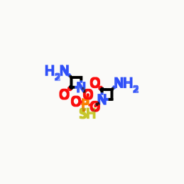 N[C@H]1CN(OP(=O)(S)ON2C[C@H](N)C2=O)C1=O